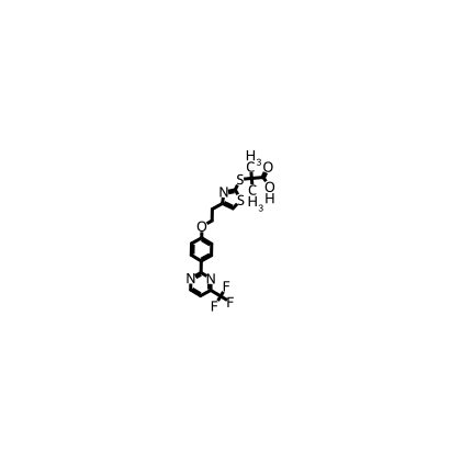 CC(C)(Sc1nc(CCOc2ccc(-c3nccc(C(F)(F)F)n3)cc2)cs1)C(=O)O